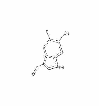 O=Cc1c[nH]c2cc(O)c(F)cc12